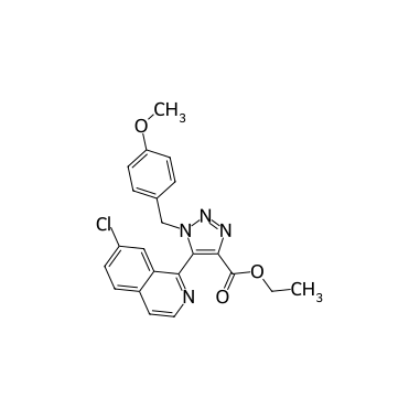 CCOC(=O)c1nnn(Cc2ccc(OC)cc2)c1-c1nccc2ccc(Cl)cc12